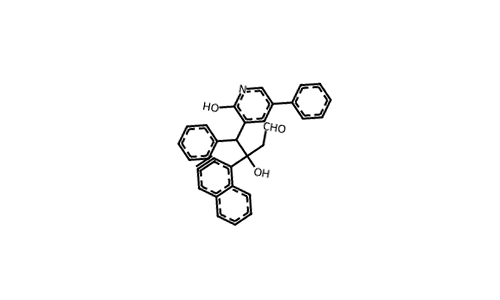 O=CCC(O)(c1c#ccc2ccccc12)C(c1ccccc1)c1cc(-c2ccccc2)cnc1O